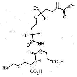 CCCC(=O)NCCC(CC)(CC)OCCC(CC)(CC)C(=O)N[C@@H](CCC(=O)O)C(=O)N[C@@H](CSCC(C)(C)C)C(=O)O